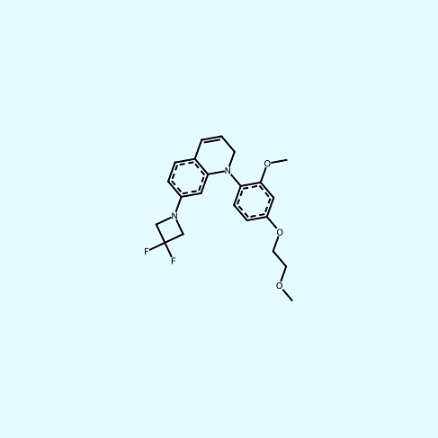 COCCOc1ccc(N2CC=Cc3ccc(N4CC(F)(F)C4)cc32)c(OC)c1